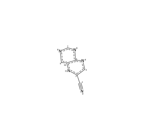 N#Cc1cnc2ncncc2n1